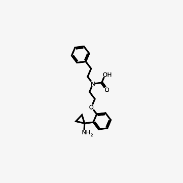 NC1(c2ccccc2OCCN(CCc2ccccc2)C(=O)O)CC1